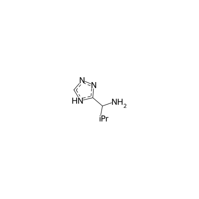 CC(C)C(N)c1nnc[nH]1